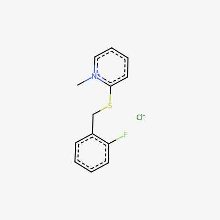 C[n+]1ccccc1SCc1ccccc1F.[Cl-]